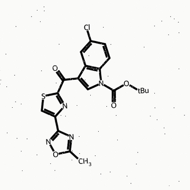 Cc1nc(-c2csc(C(=O)c3cn(C(=O)OC(C)(C)C)c4ccc(Cl)cc34)n2)no1